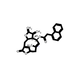 C=C1OC2CC3=C[C@@H](C/C(C)=C/[C@H](OC(=O)Cc4cccc5ccccc45)[C@@H]2C1=C)OC3=O